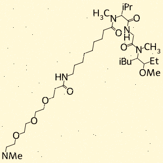 CCC(C)C(C(CC)OC)N(C)C(=O)CNC(=O)C(C(C)C)N(C)C(=O)CCCCCCCCNC(=O)CCOCCOCCOCCNC